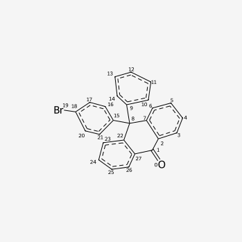 O=C1c2ccccc2C(c2ccccc2)(c2ccc(Br)cc2)c2ccccc21